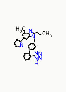 CCCc1nc2c(C)cc(-c3ccccn3)cc2n1Cc1ccc(-c2ccccc2-c2nnn[nH]2)cc1